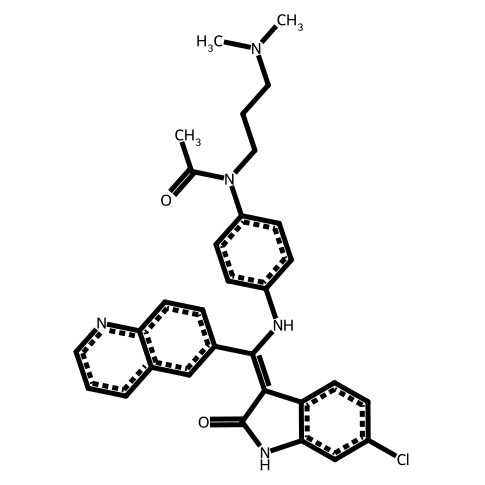 CC(=O)N(CCCN(C)C)c1ccc(NC(=C2C(=O)Nc3cc(Cl)ccc32)c2ccc3ncccc3c2)cc1